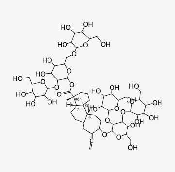 C=C=C1CC2CC[C@H]3[C@@](C)(CCC[C@@]3(C)C(=O)OC3OC(COC4OC(CO)C(O)C(O)C4O)C(O)C(O)C3OC3OC(CO)C(O)C(O)C3O)[C@@H]2CCC1OC1OC(CO)C(O)C(OC2OC(CO)C(O)C(O)C2O)C1OC1OC(CO)C(O)C(O)C1O